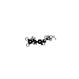 CS(=O)(=O)CC(=O)N1CC2(C1)OCc1cc(C3=NOC(c4cc(Cl)cc(Cl)c4)(C(F)(F)F)C3)ccc12